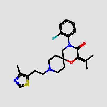 CC(C)=C1OC2(CCN(CCc3scnc3C)CC2)CN(c2ccccc2F)C1=O